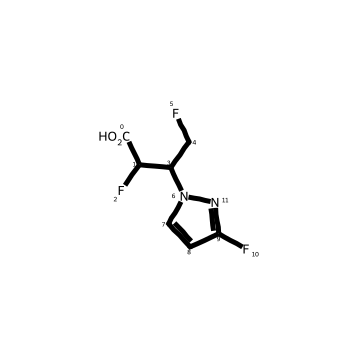 O=C(O)C(F)C(CF)n1ccc(F)n1